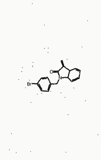 C=C1C(=O)N(Cc2ccc(Br)cc2)C2C=CC=CC12